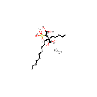 CCCCCCCCCCC(CCCCC)(C(=O)[O-])C(C(=O)[O-])S(=O)(=O)O.[Na+].[Na+]